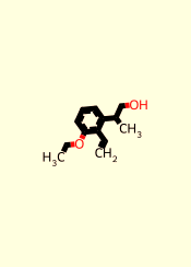 C=Cc1c(OCC)cccc1[C](C)CO